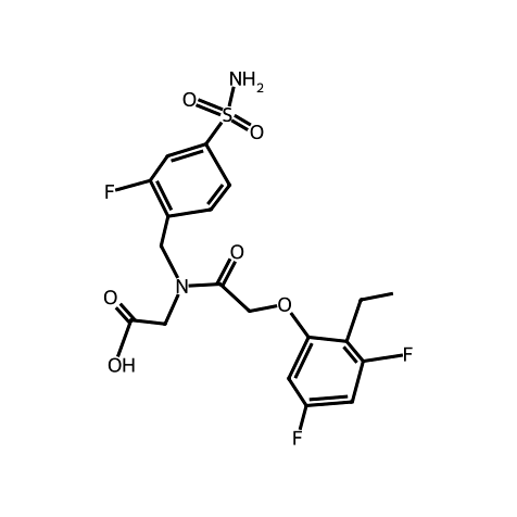 CCc1c(F)cc(F)cc1OCC(=O)N(CC(=O)O)Cc1ccc(S(N)(=O)=O)cc1F